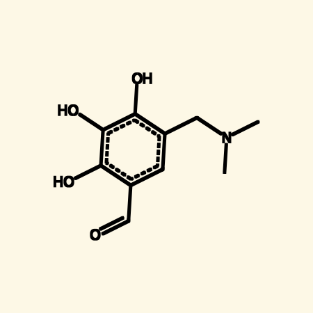 CN(C)Cc1cc(C=O)c(O)c(O)c1O